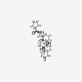 C[C@H]1CC[C@@]2(C)C(CC[C@@]3(C)[C@@H]4CCC[C@H](CNC(=O)C5CCCC5)[C@@]4(C)CC[C@@H]32)C1